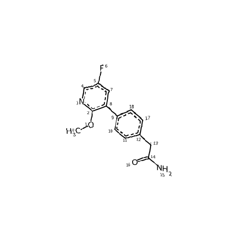 COc1ncc(F)cc1-c1ccc([CH]C(N)=O)cc1